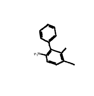 Cc1ccc(N)c(-c2ccccc2)c1C